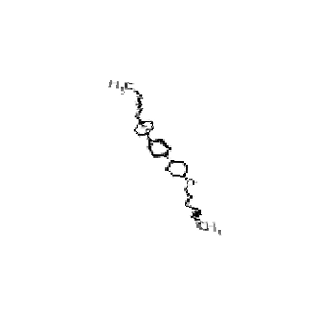 CC=CCCCO[C@H]1CC[C@H](c2ccc(C34CCC(CCCCC)(CC3)CC4)cc2)CC1